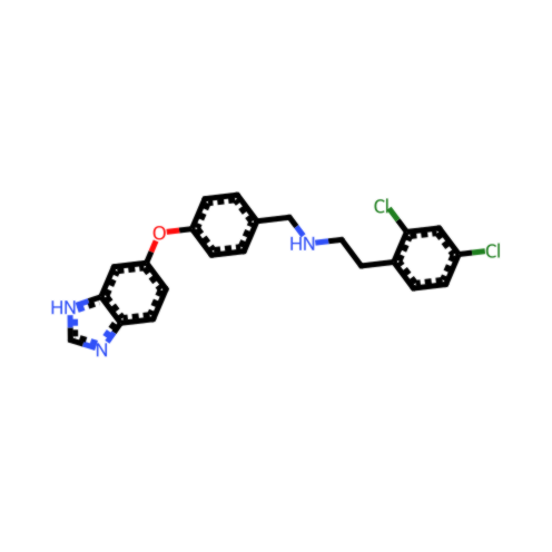 Clc1ccc(CCNCc2ccc(Oc3ccc4nc[nH]c4c3)cc2)c(Cl)c1